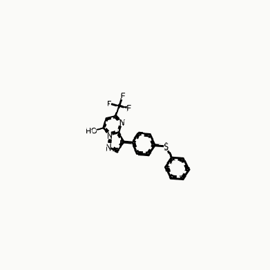 Oc1cc(C(F)(F)F)nc2c(-c3ccc(Sc4ccccc4)cc3)cnn12